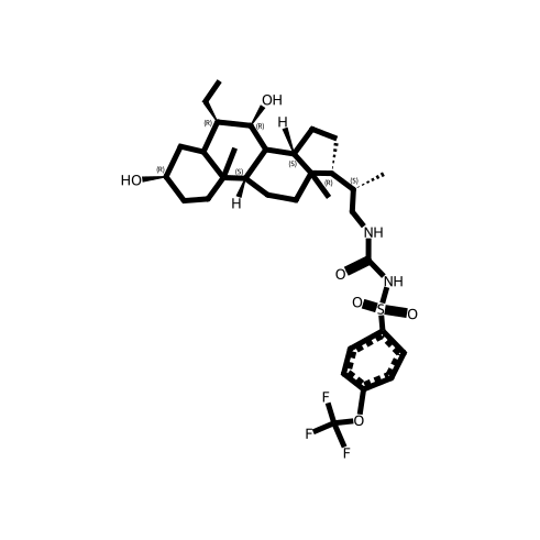 CC[C@@H]1C2C[C@H](O)CCC2(C)[C@H]2CCC3(C)[C@@H]([C@H](C)CNC(=O)NS(=O)(=O)c4ccc(OC(F)(F)F)cc4)CC[C@H]3C2[C@@H]1O